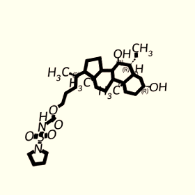 CC[C@H]1[C@@H](O)C2C3CCC([C@H](C)CCCOC(=O)NS(=O)(=O)N4CCCC4)C3(C)CCC2[C@@]2(C)CC[C@@H](O)C[C@@H]12